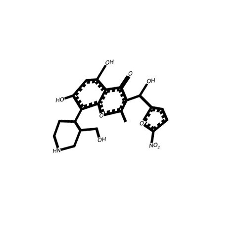 Cc1oc2c(C3CCNCC3CO)c(O)cc(O)c2c(=O)c1C(O)c1ccc([N+](=O)[O-])o1